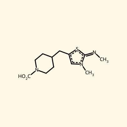 CN=c1sc(CC2CCN(C(=O)O)CC2)cn1C